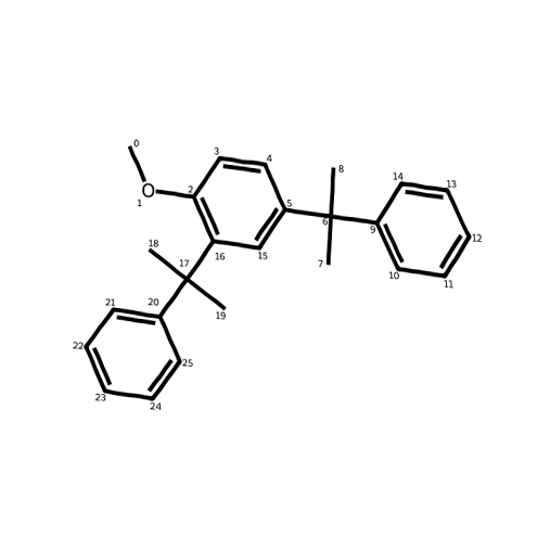 COc1ccc(C(C)(C)c2ccccc2)cc1C(C)(C)c1ccccc1